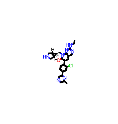 CCNc1ncc2cc(-c3ccc(-c4cncc(C)n4)cc3Cl)c(=O)n(C[C@H]3[C@@H]4CNC[C@@H]43)c2n1